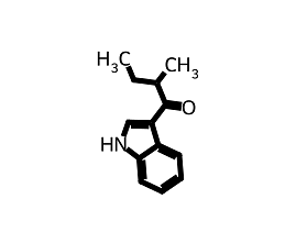 CCC(C)C(=O)c1c[nH]c2ccccc12